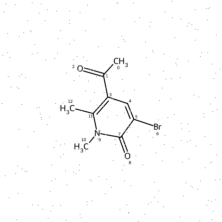 CC(=O)c1cc(Br)c(=O)n(C)c1C